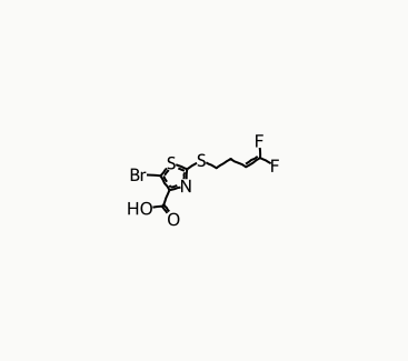 O=C(O)c1nc(SCCC=C(F)F)sc1Br